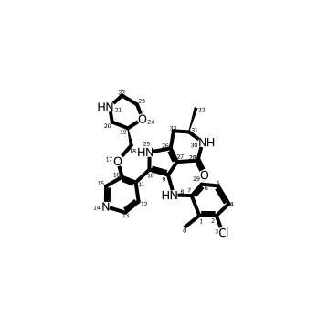 Cc1c(Cl)cccc1Nc1c(-c2ccncc2OC[C@H]2CNCCO2)[nH]c2c1C(=O)N[C@H](C)C2